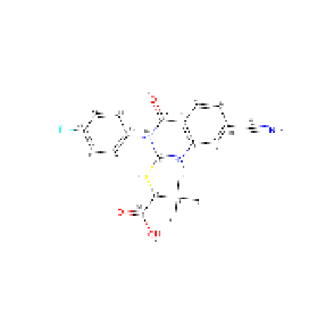 CC(C)(C)C(Sc1nc2cc(C#N)ccc2c(=O)n1-c1ccc(F)cc1)C(=O)O